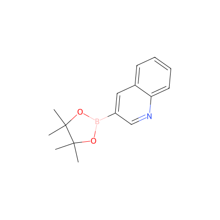 CC1(C)OB(c2cnc3ccccc3c2)OC1(C)C